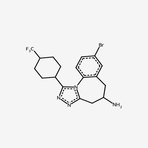 NC1Cc2cc(Br)ccc2-n2c(nnc2C2CCC(C(F)(F)F)CC2)C1